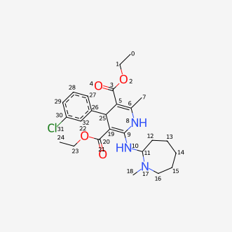 CCOC(=O)C1=C(C)NC(NC2CCCCCN2C)=C(C(=O)OCC)C1c1cccc(Cl)c1